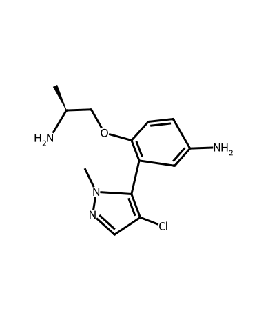 C[C@H](N)COc1ccc(N)cc1-c1c(Cl)cnn1C